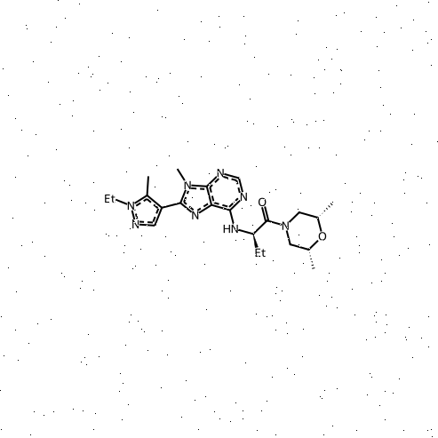 CC[C@@H](Nc1ncnc2c1nc(-c1cnn(CC)c1C)n2C)C(=O)N1C[C@@H](C)O[C@@H](C)C1